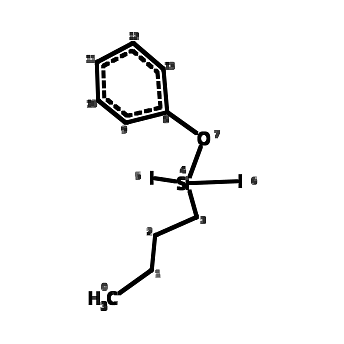 CCCC[Si](I)(I)Oc1ccccc1